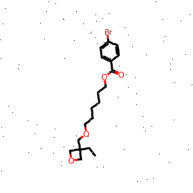 CCC1(COCCCCCCOC(=O)c2ccc(Br)cc2)COC1